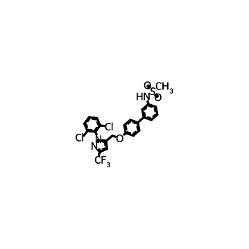 CS(=O)(=O)Nc1cccc(-c2ccc(OCc3cc(C(F)(F)F)nn3-c3c(Cl)cccc3Cl)cc2)c1